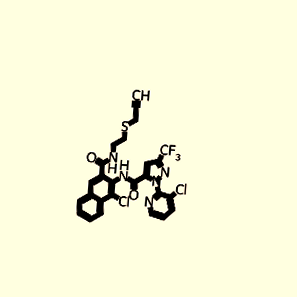 C#CCSCCNC(=O)c1cc2ccccc2c(Cl)c1NC(=O)c1cc(C(F)(F)F)nn1-c1ncccc1Cl